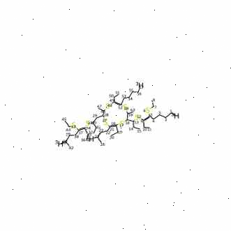 [3H]CCCC/C(SCC)=C(\CC)SC(CC)C1S/C(CC)=C(/CCC([3H])C)SC(CC(CC)S/C(CC)=C(/CCC([3H])C)SCC)C(C)S/C(CC)=C(/CCCC[3H])SC1C